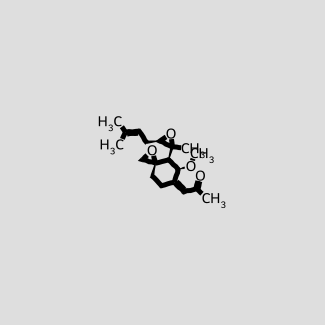 CO[C@@H]1/C(=C\C(C)=O)CC[C@]2(CO2)[C@H]1C1(C)O[C@@H]1CC=C(C)C